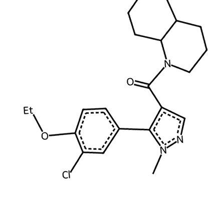 CCOc1ccc(-c2c(C(=O)N3CCCC4CCCCC43)cnn2C)cc1Cl